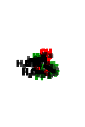 CCC(C)(F)COC(C)(F)C(F)(F)OC(F)(COC(C)(F)C(=O)O)C(F)(F)F